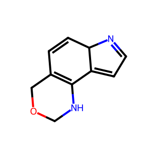 C1=CC2N=CC=C2C2=C1COCN2